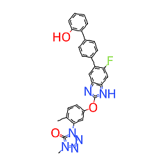 Cc1ccc(Oc2nc3cc(-c4ccc(-c5ccccc5O)cc4)c(F)cc3[nH]2)cc1-n1nnn(C)c1=O